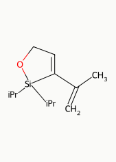 C=C(C)C1=CCO[Si]1(C(C)C)C(C)C